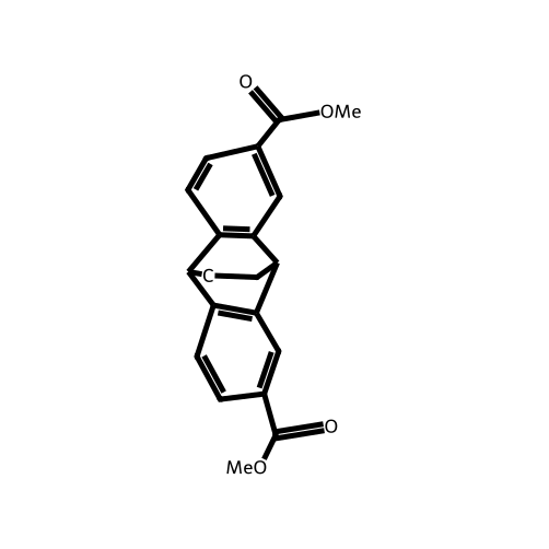 COC(=O)c1ccc2c(c1)C1CCC2c2ccc(C(=O)OC)cc21